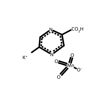 Cc1cnc(C(=O)O)cn1.[K+].[O]=[Mn](=[O])(=[O])[O-]